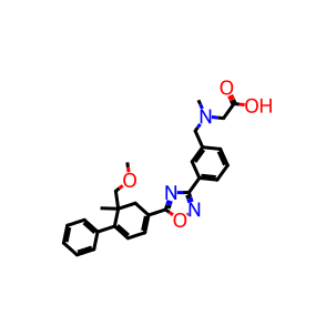 COCC1(C)CC(c2nc(-c3cccc(CN(C)CC(=O)O)c3)no2)=CC=C1c1ccccc1